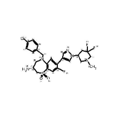 CN1CC(n2cc(-c3cc4c(cc3F)S(=O)(=O)C[C@H](N)CN4Cc3ccc(Cl)cc3)cn2)CC(F)(F)C1